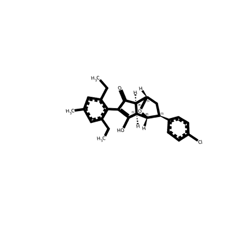 CCc1cc(C)cc(CC)c1C1=C(O)[C@@H]2[C@@H]3O[C@@H](C[C@H]3c3ccc(Cl)cc3)[C@@H]2C1=O